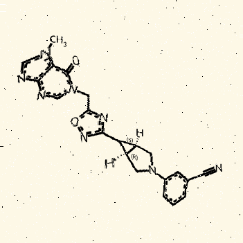 Cn1cnc2ncn(Cc3nc(C4[C@H]5CN(c6cccc(C#N)c6)C[C@@H]45)no3)c(=O)c21